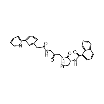 CC(C)C[C@H](NC(=O)c1cccc2ccccc12)C(=O)NCC(=O)CNC(=O)Cc1cccc(-c2ccccn2)c1